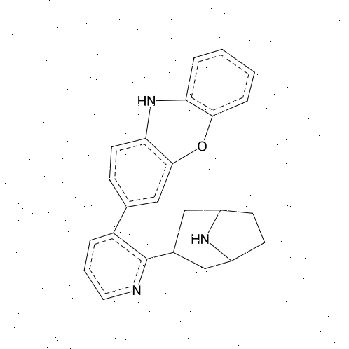 c1ccc2c(c1)Nc1ccc(-c3cccnc3C3CC4CCC(C3)N4)cc1O2